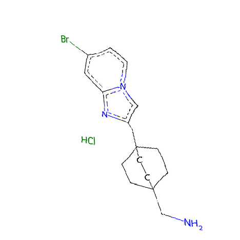 Cl.NCC12CCC(c3cn4ccc(Br)cc4n3)(CC1)CC2